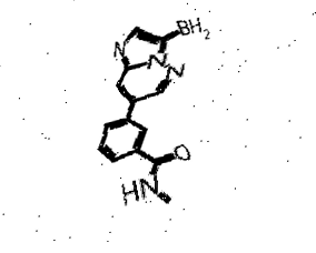 Bc1cnc2cc(-c3cccc(C(=O)NC)c3)cnn12